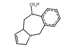 O=C(O)N1CC2C=CCN2Cc2ccccc21